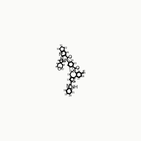 O=C(Nc1ccc(C(=O)N2CCc3cc(-c4nc5ccccc5[nH]4)sc3-c3ccc(F)cc32)cc1)c1cc2c(nc1N1CC3(CCOCC3)C1)CCC2